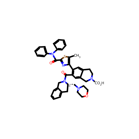 Cc1sc(C(=O)N(c2ccccc2)c2ccccc2)nc1-c1cc2c(cc1C(=O)N1Cc3ccccc3C[C@H]1CN1CCOCC1)CN(C(=O)O)CC2